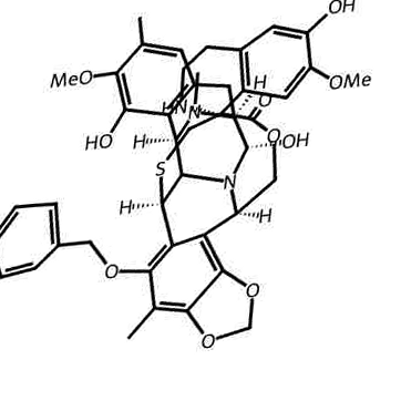 COc1cc2c(cc1O)CCN[C@]21CS[C@@H]2c3c(OCc4ccccc4)c(C)c4c(c3[C@H](COC1=O)N1C2[C@H]2c3c(cc(C)c(OC)c3O)C[C@@H]([C@@H]1O)N2C)OCO4